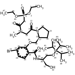 CCOP(=O)(CC(=O)N(C)CC(=O)N1CCC[C@H]1COc1cc(Br)ccc1C(=O)N[C@H](CO)CO[Si](C(C)C)(C(C)C)C(C)C)OCC